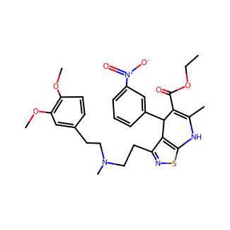 CCOC(=O)C1=C(C)Nc2snc(CCN(C)CCc3ccc(OC)c(OC)c3)c2C1c1cccc([N+](=O)[O-])c1